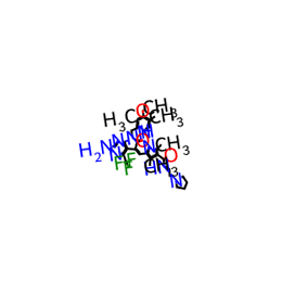 COc1c(C)cnc(CN2C(=O)C(=Cc3[nH]c(C)c(C(=O)NCCN4CCCC4)c3C)c3c2nc(N)nc3C(F)(F)F)c1C